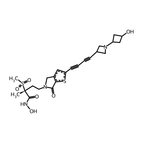 C[C@@](CCN1Cc2cc(C#CC#CC3CN(C4CC(O)C4)C3)sc2C1=O)(C(=O)NO)S(C)(=O)=O